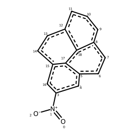 O=[N+]([O-])c1[c]c2ccc3cccc4ccc(c1)c2c34